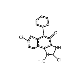 CN1c2c(c(=O)n(-c3ccccc3)c3cc(Cl)ccc23)NC1Cl